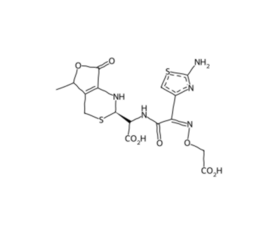 CC1OC(=O)C2=C1CS[C@H](C(NC(=O)/C(=N\OCC(=O)O)c1csc(N)n1)C(=O)O)N2